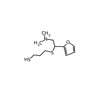 CN(C)CC(SCCCS)c1ccco1